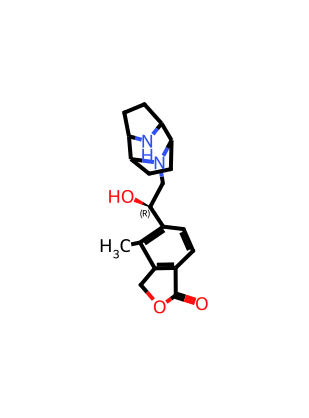 Cc1c([C@@H](O)CN2C3CCC2C2CCC3N2)ccc2c1COC2=O